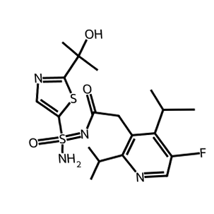 CC(C)c1ncc(F)c(C(C)C)c1CC(=O)N=S(N)(=O)c1cnc(C(C)(C)O)s1